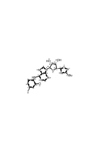 CC(C)(C)c1noc([C@H]2O[C@@H](n3cnc4c(Nc5ccc(F)cc5Cl)ncnc43)[C@H](O)[C@@H]2O)n1